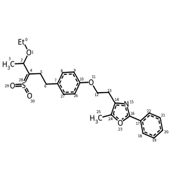 CCOC(C)C(CCc1ccc(OCCc2nc(-c3ccccc3)oc2C)cc1)=S(=O)=O